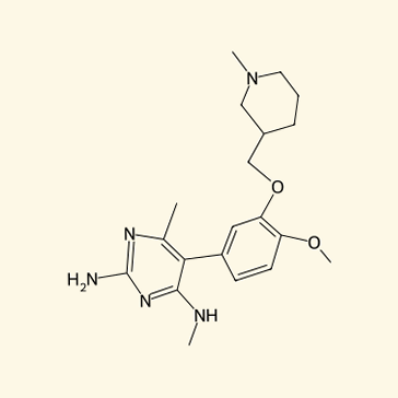 CNc1nc(N)nc(C)c1-c1ccc(OC)c(OCC2CCCN(C)C2)c1